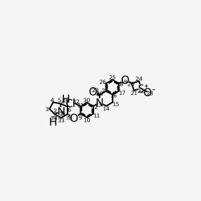 CN1[C@@H]2CC[C@H]1C[C@@H](Oc1ccc(N3CCc4cc(OC5C[S+]([O-])C5)ccc4C3=O)cc1Cl)C2